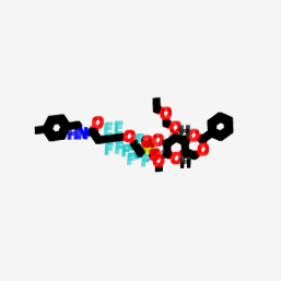 CCOCO[C@@H]1[C@H](OS(=O)(=O)C(F)(F)C(F)(F)OC(F)(F)C(F)(F)CC(=O)NCc2ccc(C)cc2)[C@H](OC)O[C@@H]2COC(c3ccccc3)O[C@@H]12